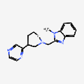 Cn1c(CN2CCCC(c3cnccn3)C2)nc2ccccc21